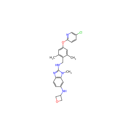 Cc1cc(Oc2ccc(Cl)cn2)cc(C)c1CNc1nc2ccc(NC3COC3)cc2n1C